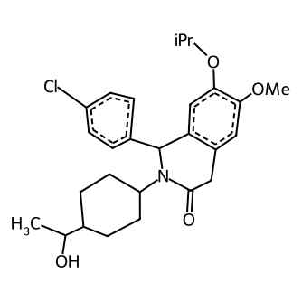 COc1cc2c(cc1OC(C)C)C(c1ccc(Cl)cc1)N(C1CCC(C(C)O)CC1)C(=O)C2